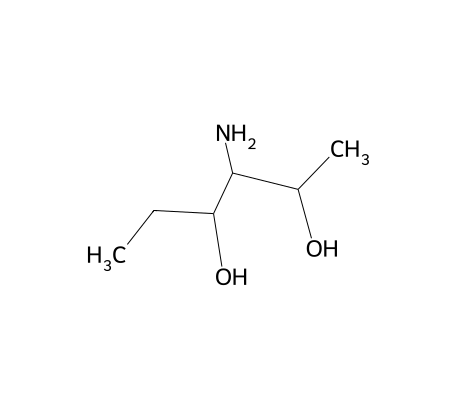 CCC(O)C(N)C(C)O